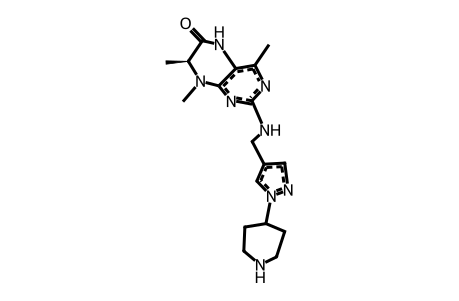 Cc1nc(NCc2cnn(C3CCNCC3)c2)nc2c1NC(=O)[C@H](C)N2C